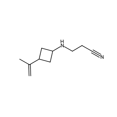 C=C(C)C1CC(NCCC#N)C1